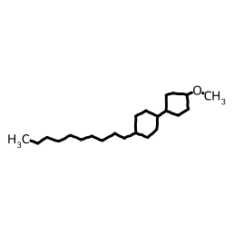 CCCCCCCCCCC1CCC(C2CCC(OC)CC2)CC1